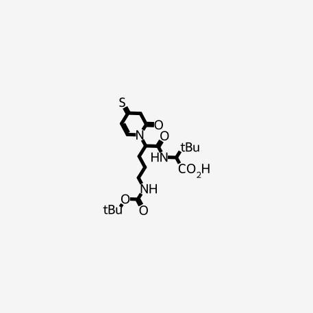 CC(C)(C)OC(=O)NCCCC(C(=O)NC(C(=O)O)C(C)(C)C)N1C=CC(=S)CC1=O